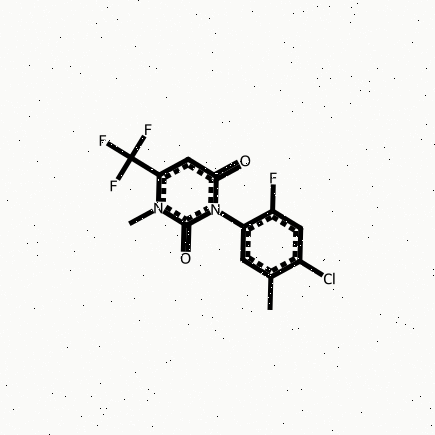 Cc1cc(-n2c(=O)cc(C(F)(F)F)n(C)c2=O)c(F)cc1Cl